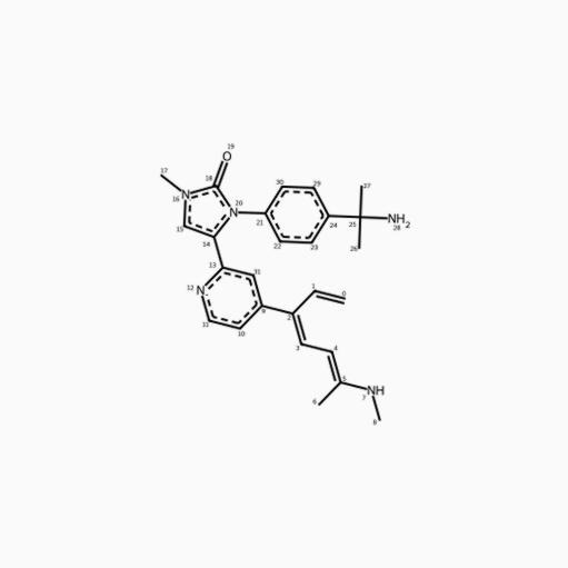 C=C/C(=C\C=C(/C)NC)c1ccnc(-c2cn(C)c(=O)n2-c2ccc(C(C)(C)N)cc2)c1